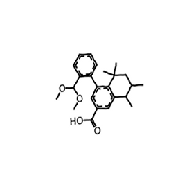 COC(OC)c1ccccc1-c1cc(C(=O)O)cc2c1C(C)(C)CC(C)C2C